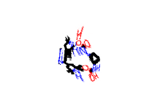 CN(C)C(C1CC(C)(C)NC(C)(C)C1)C1CC(C)(C)NC(C)(C)C1.O=C(O)Nc1cccc(NC(=O)O)c1